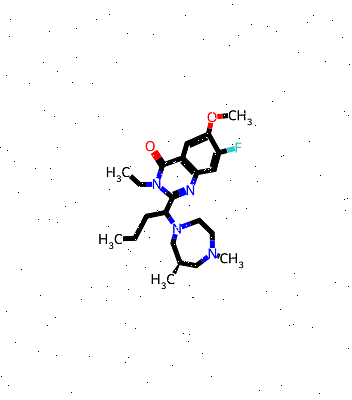 CCCC(c1nc2cc(F)c(OC)cc2c(=O)n1CC)N1CCN(C)C[C@@H](C)C1